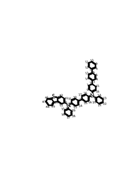 C1=CC(c2ccc(-c3ccccc3)cc2)CC=C1N(c1ccccc1)c1ccc(-c2ccc(N(c3ccccc3)c3ccc4sc5ccccc5c4c3)cc2)cc1